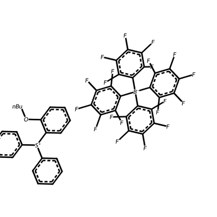 CCCCOc1ccccc1[S+](c1ccccc1)c1ccccc1.Fc1c(F)c(F)c([B-](c2c(F)c(F)c(F)c(F)c2F)(c2c(F)c(F)c(F)c(F)c2F)c2c(F)c(F)c(F)c(F)c2F)c(F)c1F